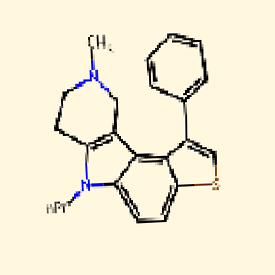 CCCn1c2c(c3c4c(-c5ccccc5)csc4ccc31)CN(C)CC2